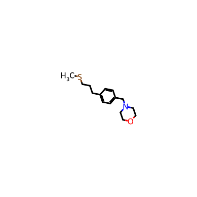 CSCCCc1ccc(CN2CCOCC2)cc1